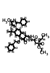 CCOP(=O)(CC(=O)NNc1nc2cc(-n3cc(C)nc3-c3ccccc3)c(C(F)(F)F)cc2n(OCc2ccccc2)c1=O)OCC